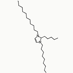 CCCCCCCCCCCCN1C=CN(CCCCCCCCC)C1CCCCC